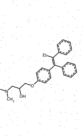 CCC(=C(c1ccccc1)c1ccc(OCC(O)CN(C)CC)cc1)c1ccccc1